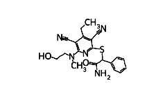 CCc1c(C#N)c(SC(C(N)=O)c2ccccc2)nc(N(C)CCO)c1C#N